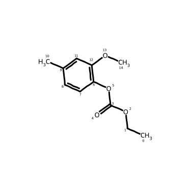 CCOC(=O)Oc1ccc(C)cc1OC